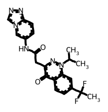 CC(C)n1nc(CC(=O)Nc2ccc3nncn3c2)c(=O)c2ccc(C(C)(F)F)cc21